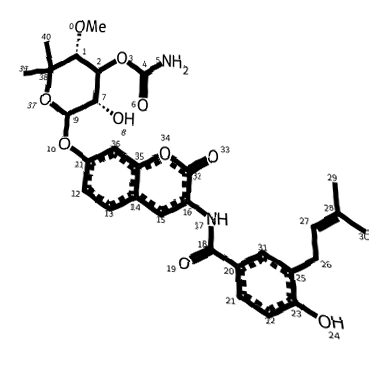 CO[C@@H]1C(OC(N)=O)[C@H](O)C(Oc2ccc3cc(NC(=O)c4ccc(O)c(CC=C(C)C)c4)c(=O)oc3c2)OC1(C)C